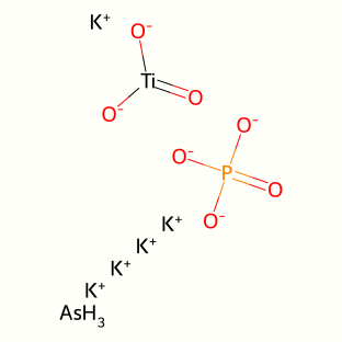 O=P([O-])([O-])[O-].[AsH3].[K+].[K+].[K+].[K+].[K+].[O]=[Ti]([O-])[O-]